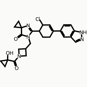 O=C(N1CC(CN2C(=O)C3(CC3)N=C2C2CCC(c3ccc4[nH]ncc4c3)=CC2Cl)C1)C1(O)CC1